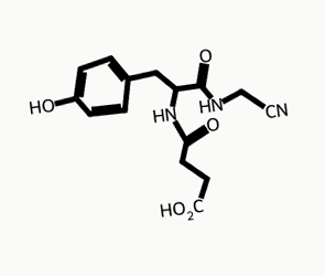 N#CCNC(=O)C(Cc1ccc(O)cc1)NC(=O)CCC(=O)O